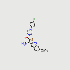 COc1ccc2cc3c(N)c(C(=O)N4CCN(c5ccc(F)cc5)CC4)sc3nc2c1